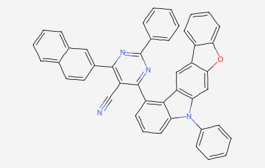 N#Cc1c(-c2ccc3ccccc3c2)nc(-c2ccccc2)nc1-c1cccc2c1c1cc3c(cc1n2-c1ccccc1)oc1ccccc13